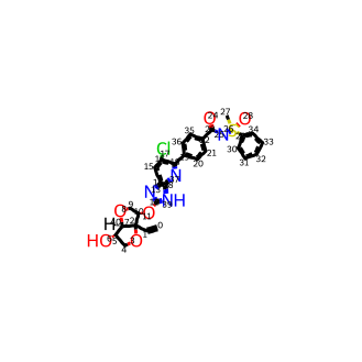 C#CC12OC[C@@H](O)[C@H]1OC[C@H]2Oc1nc2cc(Cl)c(-c3ccc(C(=O)N=S(C)(=O)c4ccccc4)cc3)nc2[nH]1